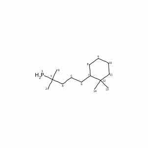 CC(C)(P)CCCC1CCCCC1(C)C